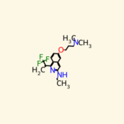 C=C(c1nc(NCC)cc2cc(OCCCN(C)C)ccc12)C(F)(F)F